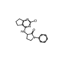 O=C1C(Nc2nc(Cl)nc3c2CCC3)CCN1c1ccccc1